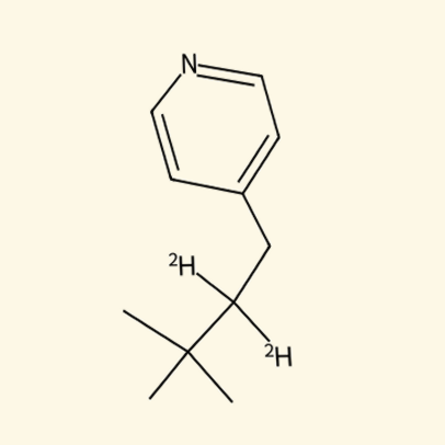 [2H]C([2H])(Cc1ccncc1)C(C)(C)C